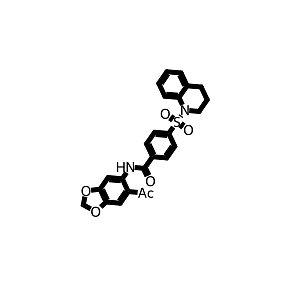 CC(=O)c1cc2c(cc1NC(=O)c1ccc(S(=O)(=O)N3CCCc4ccccc43)cc1)OCO2